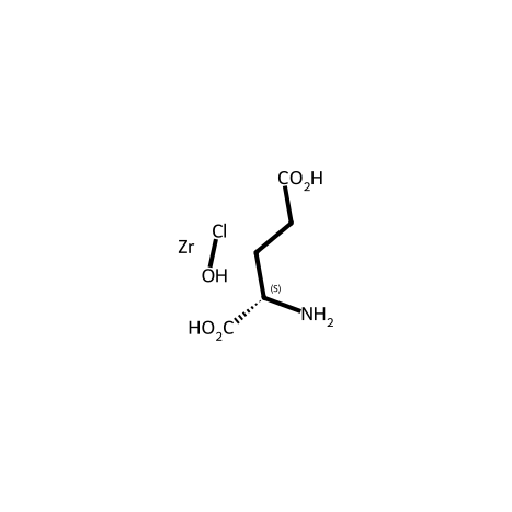 N[C@@H](CCC(=O)O)C(=O)O.OCl.[Zr]